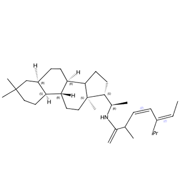 C=C(N[C@H](C)[C@H]1CCC2[C@@H]3CC[C@@H]4CC(C)(C)CC[C@@H]4[C@H]3CC[C@@]21C)C(C)/C=C\C(=C/C)C(C)C